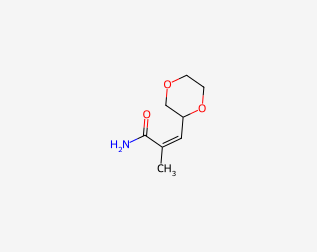 CC(=CC1COCCO1)C(N)=O